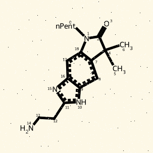 CCCCCN1C(=O)C(C)(C)c2cc3[nH]c(CCN)nc3cc21